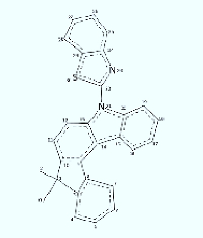 CC1(C)c2ccccc2-c2c1ccc1c2c2ccccc2n1-c1nc2ccccc2s1